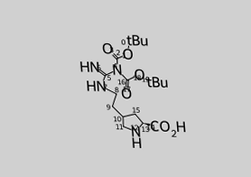 CC(C)(C)OC(=O)N(C(=N)NCCC1CN[C@H](C(=O)O)C1)C(=O)OC(C)(C)C